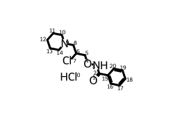 Cl.O=C(NOCC(Cl)CN1CCCCC1)c1ccccc1